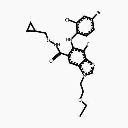 CCOCCn1cnc2c(F)c(Nc3ccc(Br)cc3Cl)c(C(=O)NOCC3CC3)cc21